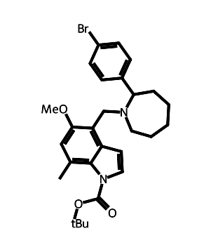 COc1cc(C)c2c(ccn2C(=O)OC(C)(C)C)c1CN1CCCCCC1c1ccc(Br)cc1